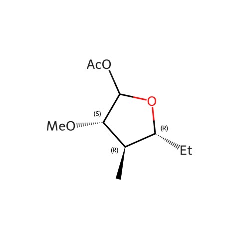 CC[C@H]1OC(OC(C)=O)[C@@H](OC)[C@@H]1C